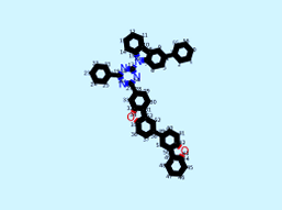 c1ccc(-c2ccc3c(c2)c2ccccc2n3-c2nc(-c3ccccc3)nc(-c3ccc4c(c3)oc3ccc(-c5ccc6oc7ccccc7c6c5)cc34)n2)cc1